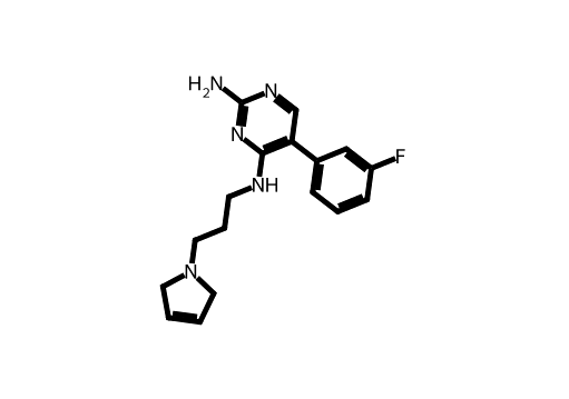 Nc1ncc(-c2cccc(F)c2)c(NCCCN2CC=CC2)n1